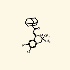 CC1(C)Cc2cc(Cl)c(Br)cc2/C(=C/C(=O)C23CC4CC(CC(C4)C2)C3)N1